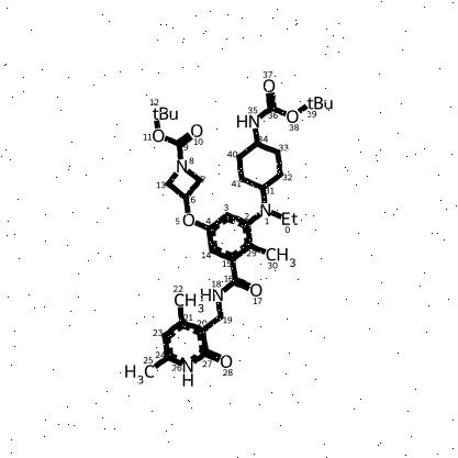 CCN(c1cc(OC2CN(C(=O)OC(C)(C)C)C2)cc(C(=O)NCc2c(C)cc(C)[nH]c2=O)c1C)C1CCC(NC(=O)OC(C)(C)C)CC1